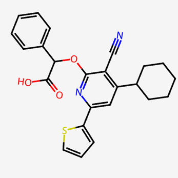 N#Cc1c(C2CCCCC2)cc(-c2cccs2)nc1OC(C(=O)O)c1ccccc1